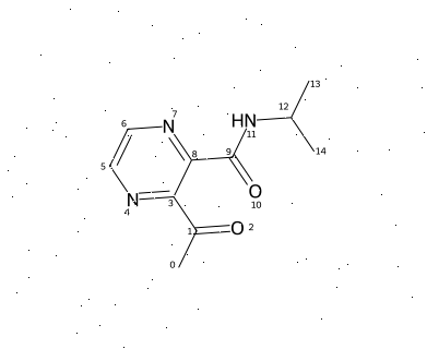 CC(=O)c1nccnc1C(=O)NC(C)C